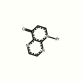 CC(C)n1ccc(=O)c2nccnc21